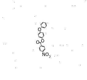 O=C(Oc1ccc(Oc2ccccc2)cc1)c1ccc([N+](=O)[O-])cc1